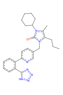 CCCc1c(C)n(C2CCCCC2)c(=O)n1Cc1ccc(-c2ccccc2-c2nnn[nH]2)nc1